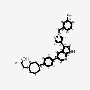 C[C@H](O)CN1CCCN(c2ccc(-c3cnc4[nH]cc(-c5cnn(Cc6cccc(F)c6)c5)c4c3)cc2)CC1